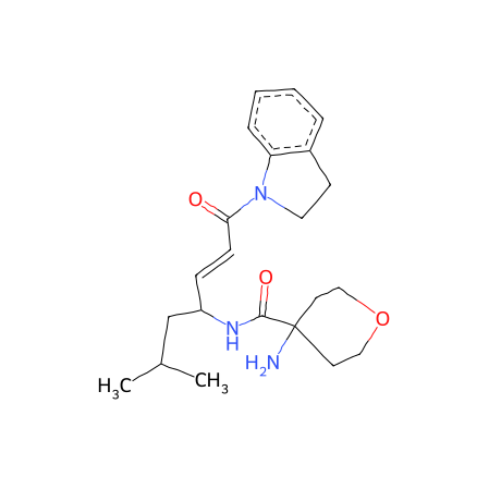 CC(C)CC(C=CC(=O)N1CCc2ccccc21)NC(=O)C1(N)CCOCC1